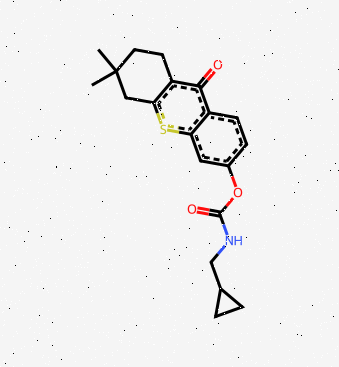 CC1(C)CCc2c(sc3cc(OC(=O)NCC4CC4)ccc3c2=O)C1